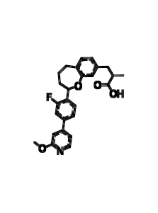 COc1cc(-c2ccc(C3CCCc4ccc(CC(C)C(=O)O)cc4O3)c(F)c2)ccn1